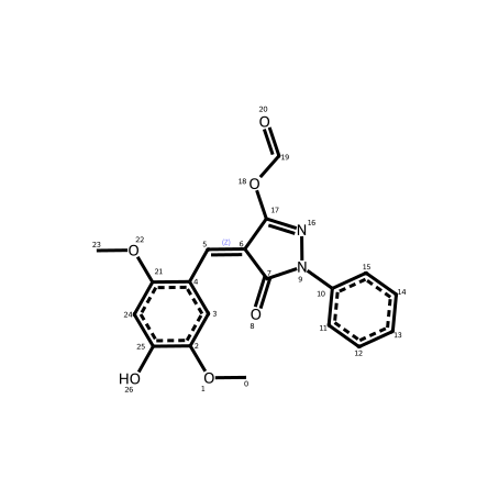 COc1cc(/C=C2\C(=O)N(c3ccccc3)N=C2OC=O)c(OC)cc1O